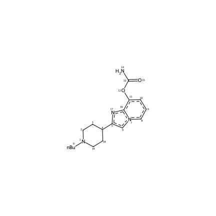 CCCCN1CCC(c2cn3cccc(OC(N)=O)c3n2)CC1